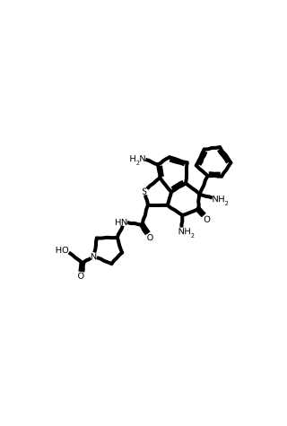 Nc1ccc2c3c1SC(C(=O)NC1CCN(C(=O)O)C1)C3C(N)C(=O)C2(N)c1ccccc1